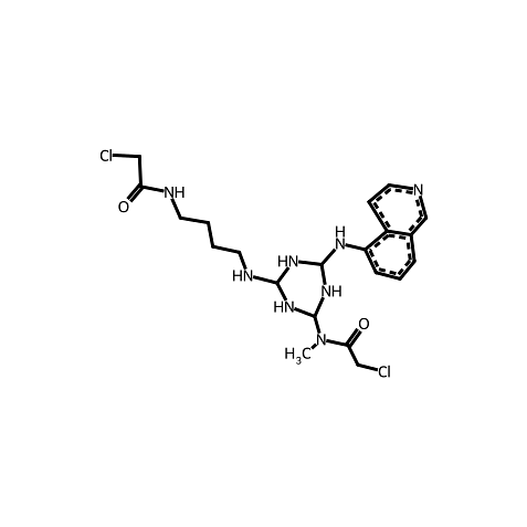 CN(C(=O)CCl)C1NC(NCCCCNC(=O)CCl)NC(Nc2cccc3cnccc23)N1